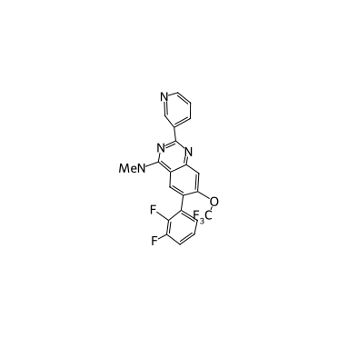 CNc1nc(-c2cccnc2)nc2cc(OC(F)(F)F)c(-c3cccc(F)c3F)cc12